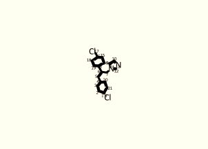 Clc1ccc(C=C(Cn2ccnc2)c2ccc(Cl)cc2)cc1